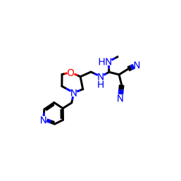 CNC(NCC1CN(Cc2ccncc2)CCO1)C(C#N)C#N